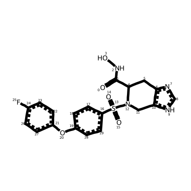 O=C(NO)C1Cc2nc[nH]c2CN1S(=O)(=O)c1ccc(Oc2ccc(F)cc2)cc1